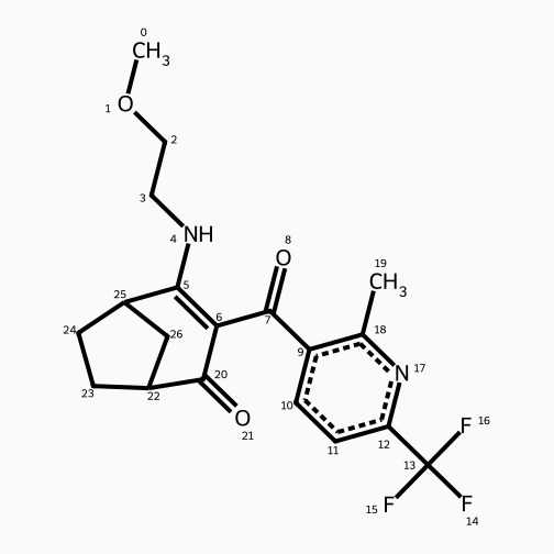 COCCNC1=C(C(=O)c2ccc(C(F)(F)F)nc2C)C(=O)C2CCC1C2